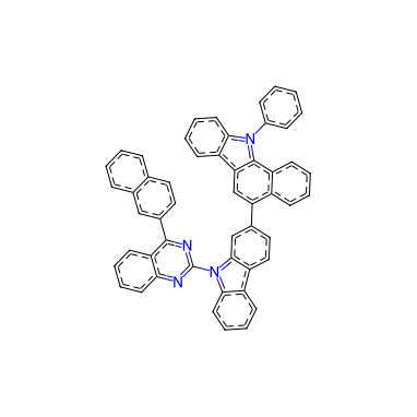 c1ccc(-n2c3ccccc3c3cc(-c4ccc5c6ccccc6n(-c6nc(-c7ccc8ccccc8c7)c7ccccc7n6)c5c4)c4ccccc4c32)cc1